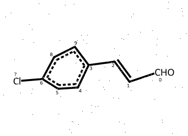 O=C/C=C/c1ccc(Cl)cc1